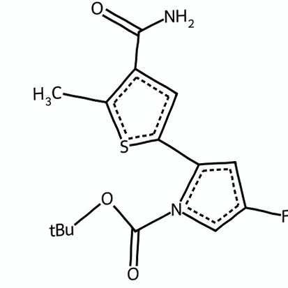 Cc1sc(-c2cc(F)cn2C(=O)OC(C)(C)C)cc1C(N)=O